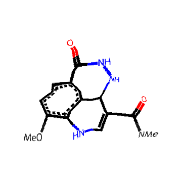 CNC(=O)C1=CNc2c(OC)ccc3c2C1NNC3=O